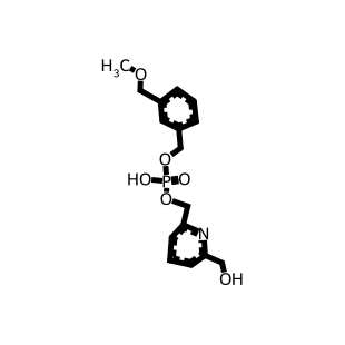 COCc1cccc(COP(=O)(O)OCc2cccc(CO)n2)c1